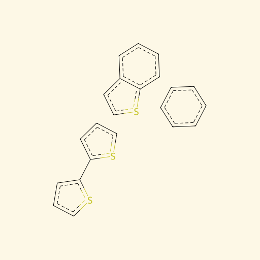 c1ccc2sccc2c1.c1ccccc1.c1csc(-c2cccs2)c1